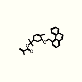 C=C(C)C(=O)OC(C)(C)C1CC=C(C)C(OCc2cccc3ccc4ccccc4c23)C1